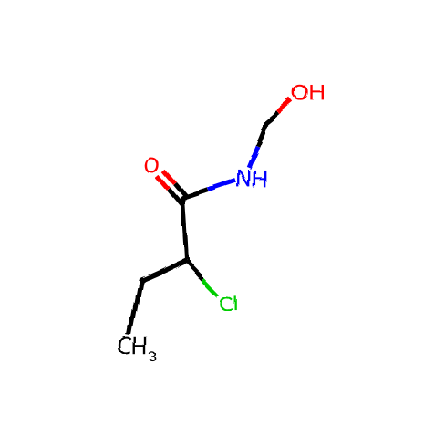 CCC(Cl)C(=O)NCO